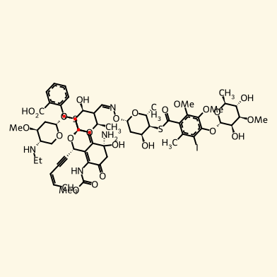 C/C=C\C#C[C@H](O[C@@H]1O[C@H](C)C(/C=N\O[C@H]2C[C@H](O)[C@H](SC(=O)c3c(C)c(I)c(O[C@@H]4O[C@@H](C)[C@H](O)[C@@H](OC)[C@H]4O)c(OC)c3OC)[C@@H](C)O2)[C@H](O)[C@H]1O[C@H]1C[C@H](OC)[C@@H](NCC)CO1)C1=C(NC(=O)OC)C(=O)C[C@](N)(O)/C1=C/CSSc1ccccc1C(=O)O